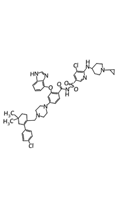 CC1(C)CCC(CN2CCN(c3ccc(C(=O)NS(=O)(=O)c4cnc(NC5CCN(C6CC6)CC5)c(Cl)c4)c(Oc4cccc5[nH]cnc45)c3)CC2)=C(c2ccc(Cl)cc2)C1